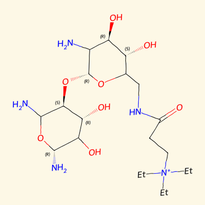 CC[N+](CC)(CC)CCC(=O)NCC1O[C@H](O[C@@H]2C(N)O[C@@H](N)C(O)[C@H]2O)C(N)[C@@H](O)[C@@H]1O